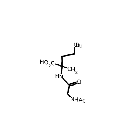 CC(=O)NCC(=O)NC(C)(CCC(C)(C)C)C(=O)O